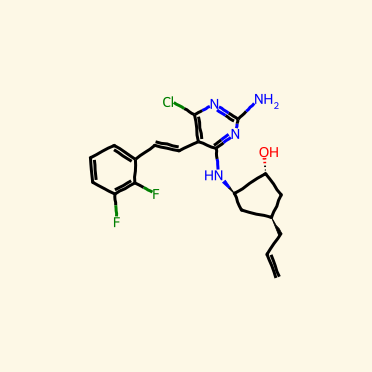 C=CC[C@@H]1C[C@@H](O)[C@H](Nc2nc(N)nc(Cl)c2/C=C/c2cccc(F)c2F)C1